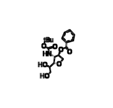 CC(C)(C)OC(=O)N[C@H]1[C@@H]([C@H](O)CO)OC[C@@H]1OC(=O)c1ccccc1